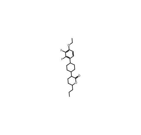 CCCC1CCC(C2CCC(c3ccc(OCC)c(F)c3F)CC2)C(=O)O1